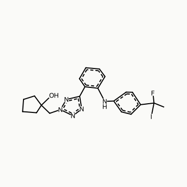 CC(F)(I)c1ccc(Nc2ccccc2-c2nnn(CC3(O)CCCC3)n2)cc1